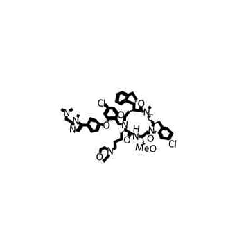 COC[C@@H]1NC(=O)[C@H](CCCCN2CCOCC2)N(Cc2ccc(Cl)cc2Oc2ccc(-c3cnc(CN(C)C)n3C)cc2)C(=O)C[C@@H]([C@H]2CCc3ccccc32)C(=O)N(C)C[C@@H](Cc2ccc(Cl)cc2)N(C)C1=O